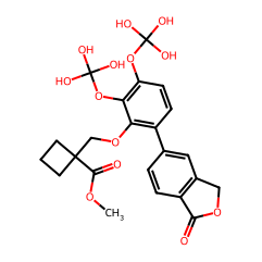 COC(=O)C1(COc2c(-c3ccc4c(c3)COC4=O)ccc(OC(O)(O)O)c2OC(O)(O)O)CCC1